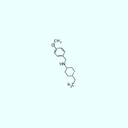 CCC1CCC(NCc2ccc(OC)cc2)CC1